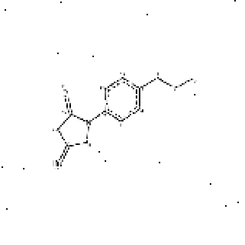 CCCc1ccc(N2CC(=N)CC2=O)cc1